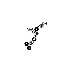 COc1cc(CNCCO)ccc1C(=O)NCCN1CCC(OC(=O)Nc2ccccc2-c2ccccc2)CC1